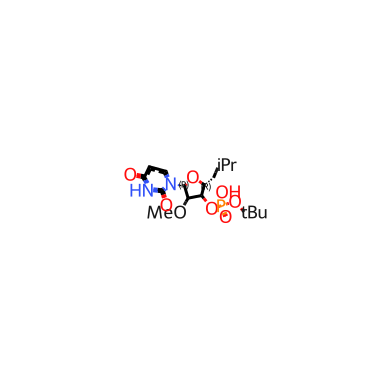 COC1C(OP(=O)(O)OC(C)(C)C)[C@@H](CC(C)C)O[C@H]1n1ccc(=O)[nH]c1=O